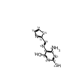 Nc1nc(S)nc(O)c1N=Cc1nccs1